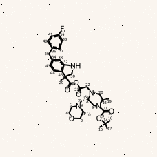 C[C@@H]1COCCN1C[C@H]1CN(C(=O)OC(C)(C)C)[C@H](C)CN1CC(=O)OC(=O)[C@@]1(C)CNc2cc(Cc3ccc(F)cc3)ccc21